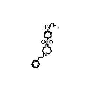 CNc1ccc(S(=O)(=O)N2CCCN(CCc3ccccc3)CC2)cc1